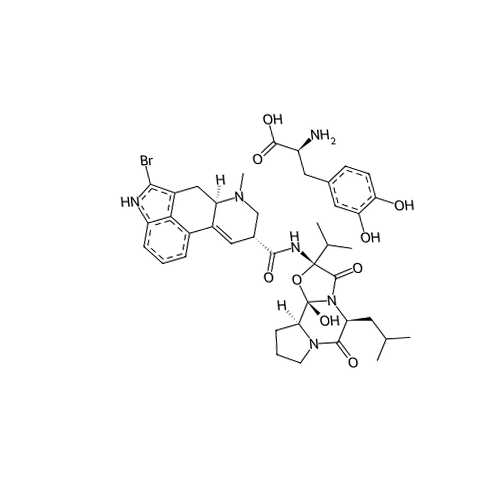 CC(C)C[C@H]1C(=O)N2CCC[C@H]2[C@]2(O)O[C@](NC(=O)[C@@H]3C=C4c5cccc6[nH]c(Br)c(c56)C[C@H]4N(C)C3)(C(C)C)C(=O)N12.N[C@@H](Cc1ccc(O)c(O)c1)C(=O)O